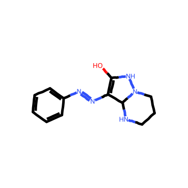 OC1=C(N=Nc2ccccc2)C2NCCCN2N1